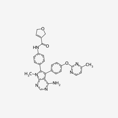 Cc1ccnc(Oc2ccc(-c3c(-c4ccc(NC(=O)C5=CCOC5)cc4)n(C)c4ncnc(N)c34)cc2)n1